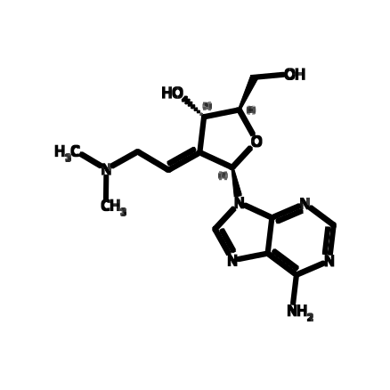 CN(C)CC=C1[C@H](n2cnc3c(N)ncnc32)O[C@H](CO)[C@H]1O